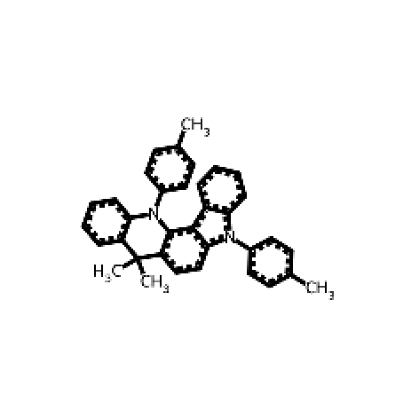 Cc1ccc(N2c3ccccc3C(C)(C)c3ccc4c(c32)c2ccccc2n4-c2ccc(C)cc2)cc1